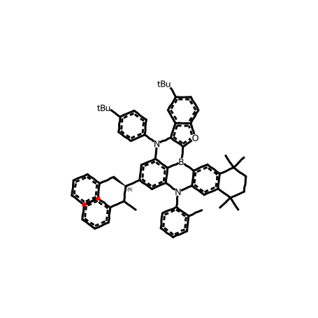 Cc1ccccc1N1c2cc3c(cc2B2c4oc5ccc(C(C)(C)C)cc5c4N(c4ccc(C(C)(C)C)cc4)c4cc([C@H](Cc5ccccc5)C(C)c5ccccc5)cc1c42)C(C)(C)CCC3(C)C